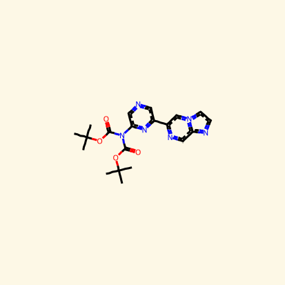 CC(C)(C)OC(=O)N(C(=O)OC(C)(C)C)c1cncc(-c2cn3ccnc3[c]n2)n1